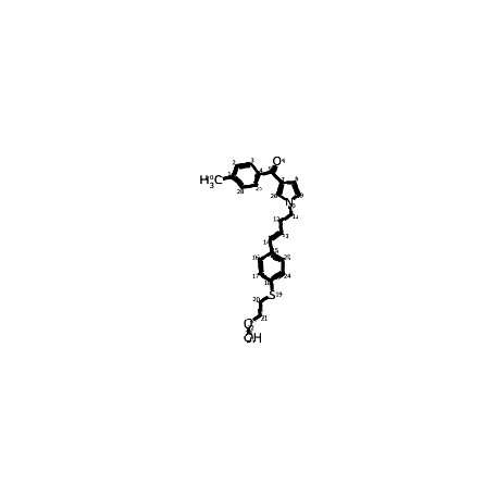 Cc1ccc(C(=O)c2ccn(CC/C=C/c3ccc(SCCOO)cc3)c2)cc1